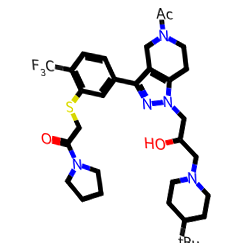 CC(=O)N1CCc2c(c(-c3ccc(C(F)(F)F)c(SCC(=O)N4CCCC4)c3)nn2CC(O)CN2CCC(C(C)(C)C)CC2)C1